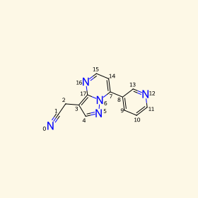 N#CCc1cnn2c(-c3cccnc3)ccnc12